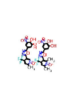 Cc1cc(C(F)(F)F)c(-c2nnc(-c3cc(O)c(O)c([N+](=O)[O-])c3)o2)c(C)[n+]1[O-].Cc1cc(C(F)(F)F)c(-c2nnc(-c3cc(O)c(O)c([N+](=O)[O-])c3)o2)c[n+]1[O-]